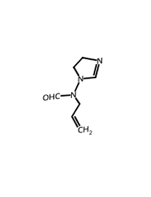 C=CCN(C=O)N1C=NCC1